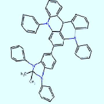 CC1(C)N(c2ccccc2)c2ccc(-c3cc4c5c(c3)N(c3ccccc3)c3ccccc3B5c3ccccc3N4c3ccccc3)cc2N1c1ccccc1